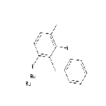 Ic1ccc(I)c(I)c1I.[Ru].[Ru].c1ccccc1